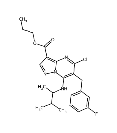 CCCOC(=O)c1cnn2c(NC(C)C(C)C)c(Cc3cccc(F)c3)c(Cl)nc12